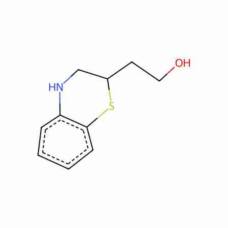 OCCC1CNc2ccccc2S1